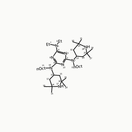 CCCCCCCCN(c1nc(N(CC)CC)nc(N(CCCCCCCC)C2CC(C)(C)NC(C)(C)C2)n1)C1CC(C)(C)NC(C)(C)C1